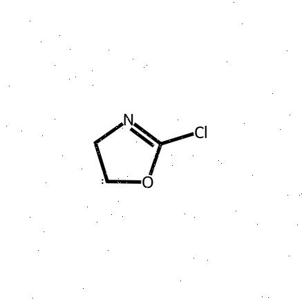 ClC1=NC[C]O1